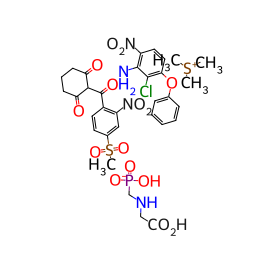 CS(=O)(=O)c1ccc(C(=O)C2C(=O)CCCC2=O)c([N+](=O)[O-])c1.C[S+](C)C.Nc1c([N+](=O)[O-])ccc(Oc2ccccc2)c1Cl.O=C(O)CNCP(=O)([O-])O